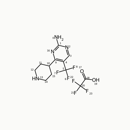 Nc1ncc(C(F)(F)F)c(C2CCNCC2)n1.O=C(O)C(F)(F)F